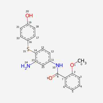 COc1ccccc1C(=O)Nc1ccc(Sc2ccc(O)cc2)c(N)c1